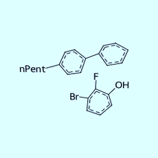 CCCCCc1ccc(-c2ccccc2)cc1.Oc1cccc(Br)c1F